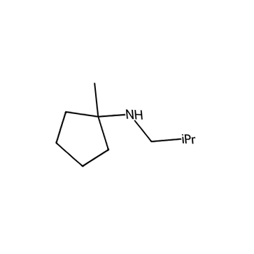 CC(C)CNC1(C)CCCC1